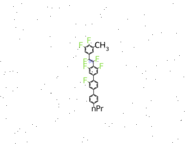 CCCc1ccc(-c2ccc(-c3cc(F)c(/C(F)=C(\F)c4cc(C)c(F)c(F)c4)c(F)c3)c(F)c2)cc1